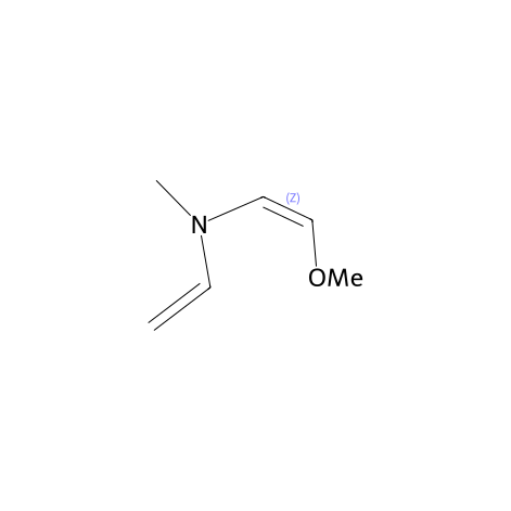 C=CN(C)/C=C\OC